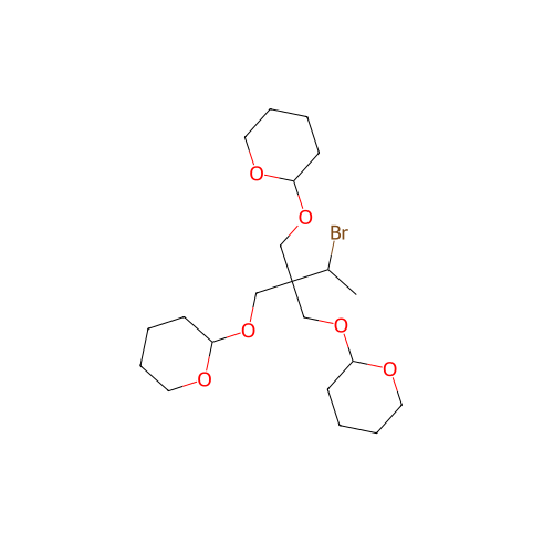 CC(Br)C(COC1CCCCO1)(COC1CCCCO1)COC1CCCCO1